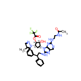 CC(=O)NCCNc1ncc2nc(NCC(c3ccccc3)c3ccccc3)n([C@@H]3C[C@H](n4cc(C)cn4)[C@@H](OC(=O)C(F)(F)F)[C@H]3O)c2n1